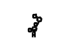 O=c1cc(OCc2cccc(Cl)c2)cc[nH]1